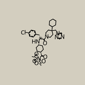 CS(=O)(=O)N(C(=O)[C@H]1CC[C@H](N[C@H](Cc2ccc(Cl)cc2)C(=O)N2CCC(Cn3cncn3)(C3CCCCC3)CC2)CC1)S(C)(=O)=O